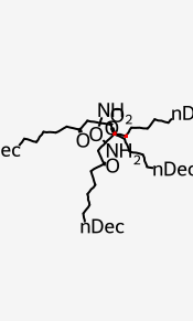 CCCCCCCCCCCCCCCC(=O)CC(N)(OC(N)(CC(=O)CCCCCCCCCCCCCCC)C(=O)CCCCCCCCCCCCCCC)C(=O)CCCCCCCCCCCCCCC